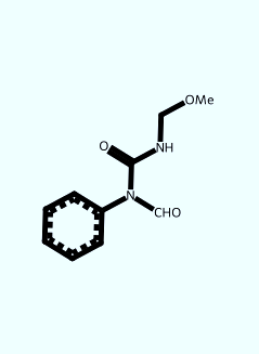 COCNC(=O)N(C=O)c1ccccc1